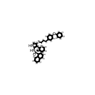 O=S(=O)(Nc1[nH]nc(SCCCc2ccc(Oc3ccccc3)cc2)c1-c1ccccn1)c1cccc2ccccc12